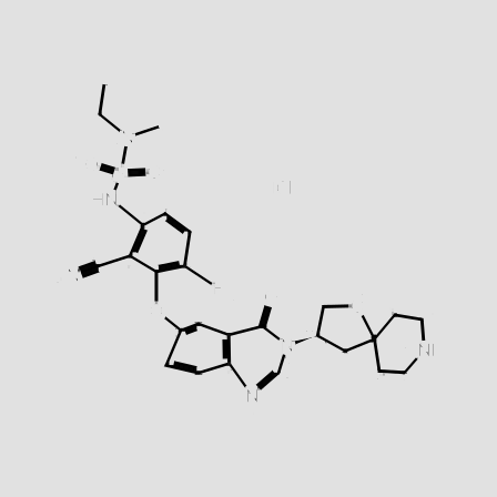 CCN(C)S(=O)(=O)Nc1ccc(F)c(Oc2ccc3ncn([C@H]4COC5(CCNCC5)C4)c(=O)c3c2)c1C#N.Cl